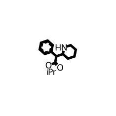 CC(C)OC(=O)C(c1ccccc1)C1CCCCN1